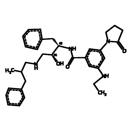 CCNc1cc(C(=O)N[C@@H](Cc2ccccc2)[C@@H](O)CNCC(C)Cc2ccccc2)cc(N2CCCC2=O)c1